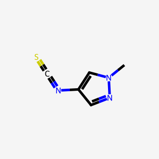 Cn1cc(N=C=S)cn1